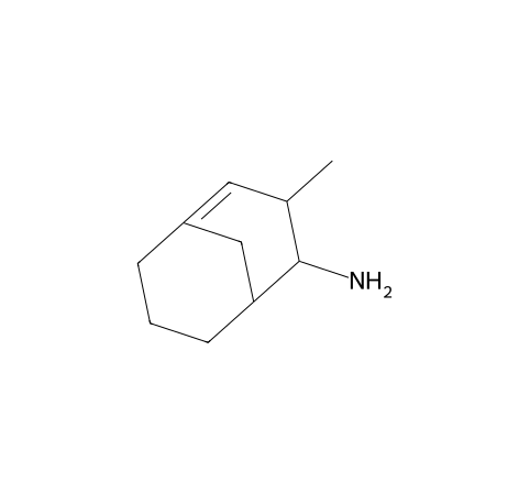 CC1C=C2CCCC(C2)C1N